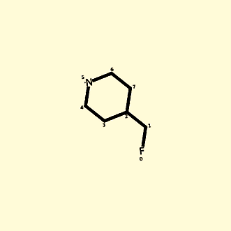 FCC1CC[N]CC1